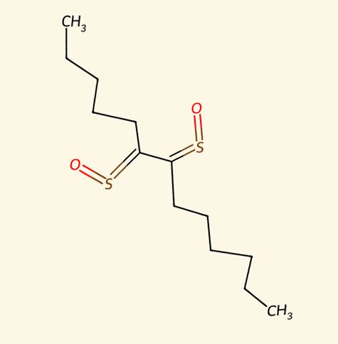 CCCCCCC(=S=O)C(CCCCC)=S=O